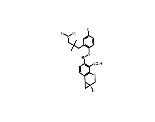 CCN(CC)CC(C)(C)Cc1cc(F)ccc1SNc1ccc2c(c1C(=O)O)OC[C@@H]1CC21